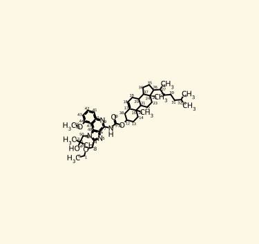 CCOCc1nc2c(NC(=O)OC3CCC4(C)C(=CCC5C4CC[C@@]4(C)C(C(C)CCCC(C)C)CCC54)C3)nc3cccc(OC)c3c2n1CC(C)(C)O